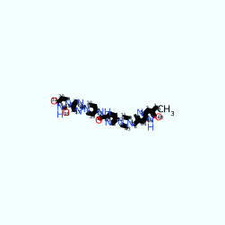 CCc1cc2ncc(CN3CCN(c4ccc(C(=O)NC5CCN(c6ncc(N7CCC(=O)NC7=O)cn6)CC5)nc4)CC3)cc2[nH]c1=O